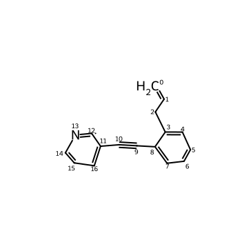 C=CCc1ccccc1C#Cc1[c]nccc1